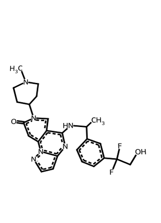 CC(Nc1nc2ccnn2c2cc(=O)n(C3CCN(C)CC3)cc12)c1cccc(C(F)(F)CO)c1